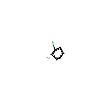 Clc1ccccc1.[Se]